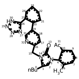 CCCCc1cn(-c2c(C)cccc2C(C)=O)c(=O)n1Cc1ccc(-c2ccccc2-c2nnn[nH]2)cn1